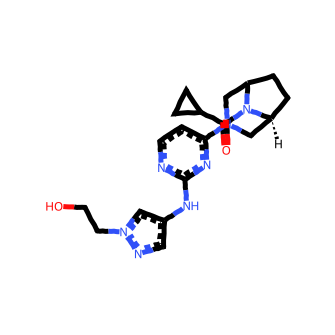 O=C(C1CC1)N1C2CC[C@H]1CN(c1ccnc(Nc3cnn(CCO)c3)n1)C2